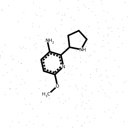 COc1ccc(N)c(C2CCCN2)n1